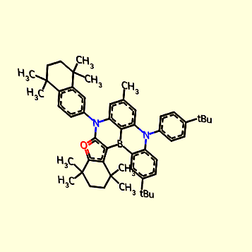 Cc1cc2c3c(c1)N(c1ccc4c(c1)C(C)(C)CCC4(C)C)c1oc4c(c1B3c1cc(C(C)(C)C)ccc1N2c1ccc(C(C)(C)C)cc1)C(C)(C)CCC4(C)C